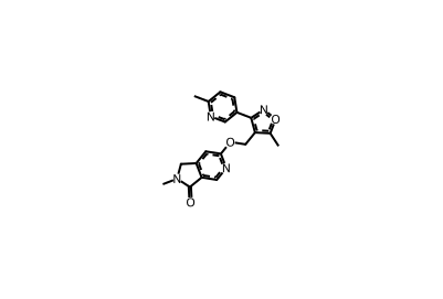 Cc1ccc(-c2noc(C)c2COc2cc3c(cn2)C(=O)N(C)C3)cn1